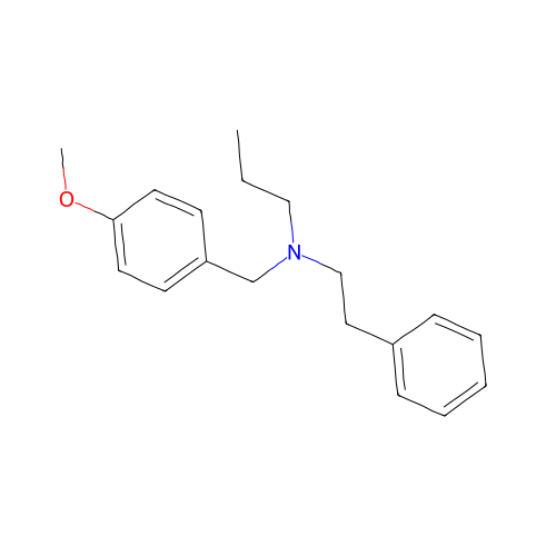 CCCN(CCc1ccccc1)Cc1ccc(OC)cc1